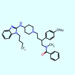 COc1ccc(C(CCN2CCC(Nc3nc4ccccc4n3CCCC(F)(F)F)CC2)CN(C)C(=O)c2ccccc2)cc1